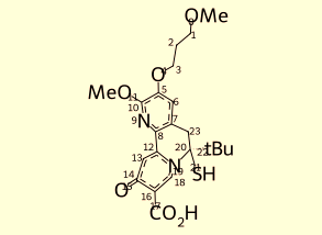 COCCCOc1cc2c(nc1OC)-c1cc(=O)c(C(=O)O)cn1[C@@](S)(C(C)(C)C)C2